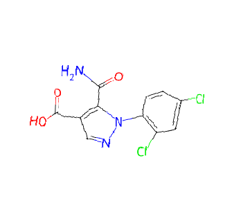 NC(=O)c1c(C(=O)O)cnn1-c1ccc(Cl)cc1Cl